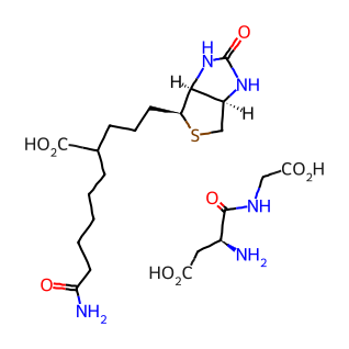 NC(=O)CCCCCC(CCC[C@@H]1SC[C@@H]2NC(=O)N[C@@H]21)C(=O)O.N[C@@H](CC(=O)O)C(=O)NCC(=O)O